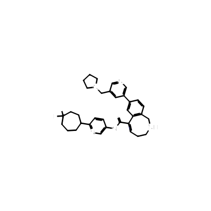 O=C(Nc1ccc(C2CCCC(F)(F)CC2)nc1)/C1=C/CCNCc2ccc(-c3cncc(CN4CCCC4)c3)cc21